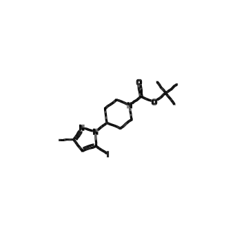 Cc1cc(I)n(C2CCN(C(=O)OC(C)(C)C)CC2)n1